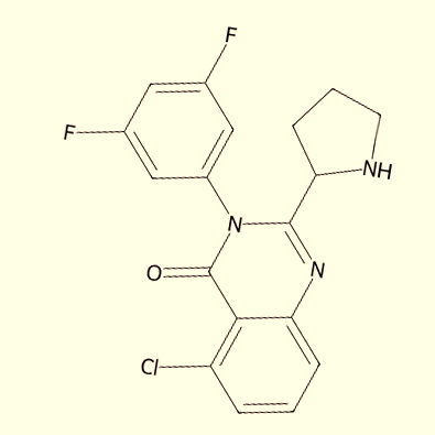 O=c1c2c(Cl)cccc2nc(C2CCCN2)n1-c1cc(F)cc(F)c1